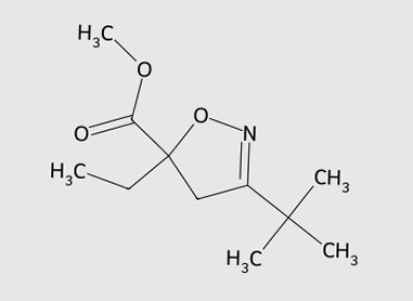 CCC1(C(=O)OC)CC(C(C)(C)C)=NO1